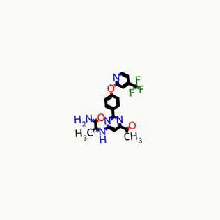 CC(=O)c1cc(N[C@@H](C)C(N)=O)nc(-c2ccc(Oc3cc(C(F)(F)F)ccn3)cc2)n1